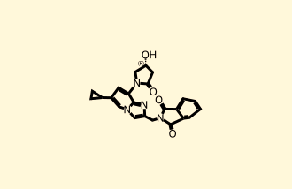 O=C1c2ccccc2C(=O)N1Cc1cn2cc(C3CC3)cc(N3C[C@H](O)CC3=O)c2n1